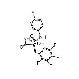 NC(=O)C(=Cc1c(F)c(F)c(F)c(F)c1F)S(=O)(=O)Nc1ccc(F)cc1